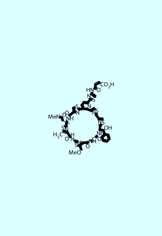 CNC(=O)C[C@@H]1NC(=O)c2csc(n2)-c2ccc(-c3nc(NC(=O)/C=C\C(=O)O)cs3)nc2-c2csc(n2)-c2csc(n2)[C@H]([C@@H](O)c2ccccc2)NC(=O)CNC(=O)c2nc(sc2COC)NC(=O)c2nc1sc2C